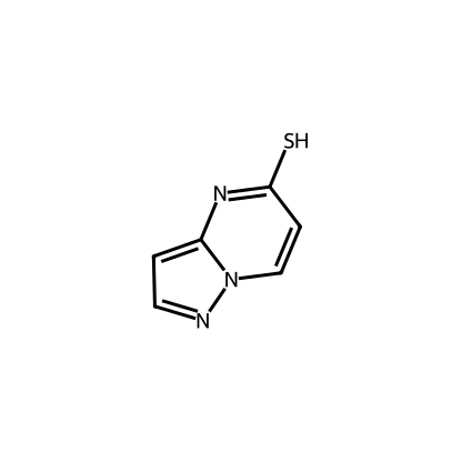 Sc1ccn2nccc2n1